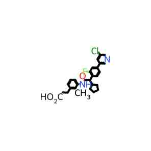 Cc1c(CCC(=O)O)cccc1NC(=O)C(c1ccc(-c2cncc(Cl)c2)cc1F)C1CCCC1